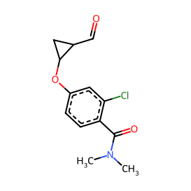 CN(C)C(=O)c1ccc(OC2CC2C=O)cc1Cl